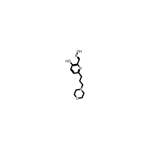 O/N=C/c1nc(CCCN2CCOCC2)ccc1O